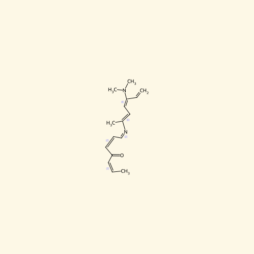 C=C\C(=C/C=C(C)/N=C\C=C/C(=O)/C=C\C)N(C)C